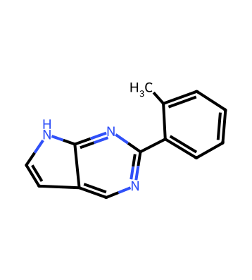 Cc1ccccc1-c1ncc2cc[nH]c2n1